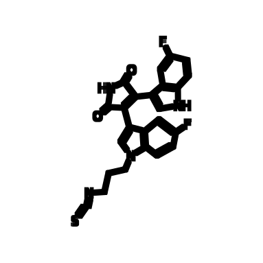 O=C1NC(=O)C(c2cn(CCCN=C=S)c3ccc(F)cc23)=C1c1c[nH]c2ccc(F)cc12